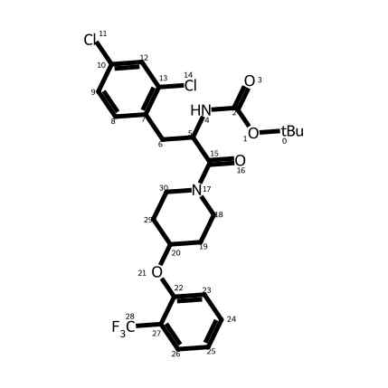 CC(C)(C)OC(=O)NC(Cc1ccc(Cl)cc1Cl)C(=O)N1CCC(Oc2ccccc2C(F)(F)F)CC1